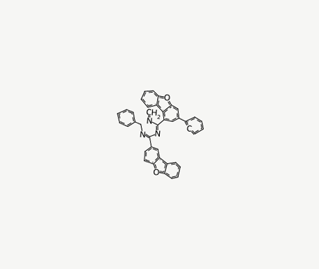 C=N/C(=N\C(=N/Cc1ccccc1)c1ccc2oc3ccccc3c2c1)c1cc(-c2ccccc2)cc2oc3ccccc3c12